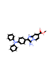 COC(=O)c1ccn2c(N)c(-c3ccc(N(c4ccccc4)c4ccccc4)cc3)nc2c1